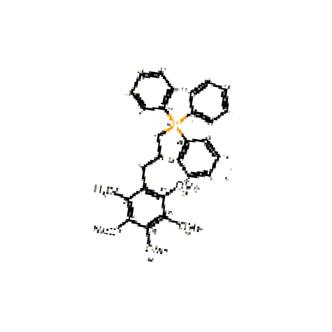 COc1c(C)c(CCC[P+](c2ccccc2)(c2ccccc2)c2ccccc2)c(OC)c(OC)c1OC.[I-]